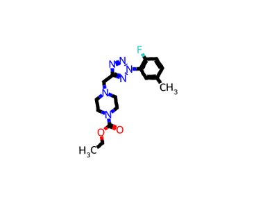 CCOC(=O)N1CCN(Cc2nnn(-c3cc(C)ccc3F)n2)CC1